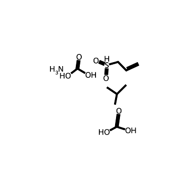 C=CC[SH](=O)=O.CC(C)C.N.O=C(O)O.O=C(O)O